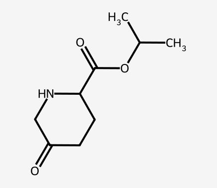 CC(C)OC(=O)C1CCC(=O)CN1